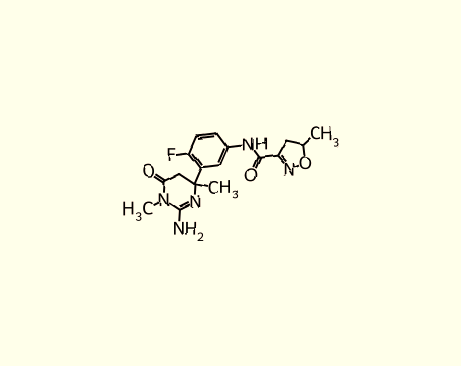 CC1CC(C(=O)Nc2ccc(F)c(C3(C)CC(=O)N(C)C(N)=N3)c2)=NO1